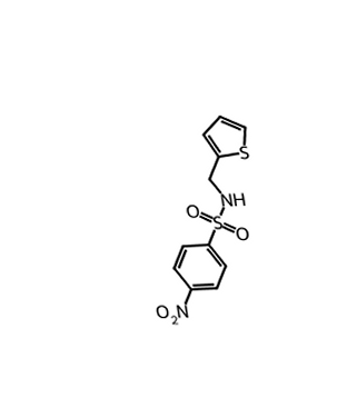 O=[N+]([O-])c1ccc(S(=O)(=O)NCc2cccs2)cc1